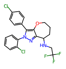 FC(F)(F)CNC1CCCOc2c1nn(-c1ccccc1Cl)c2-c1ccc(Cl)cc1